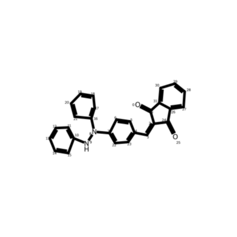 O=C1C(=Cc2ccc(N(Nc3ccccc3)c3ccccc3)cc2)C(=O)c2ccccc21